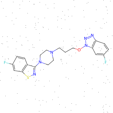 Fc1ccc2c(N3CCN(CCCOn4nnc5ccc(F)cc54)CC3)nsc2c1